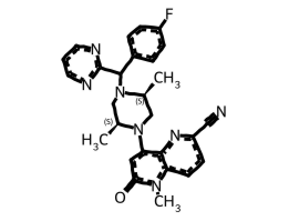 C[C@H]1CN(C(c2ccc(F)cc2)c2ncccn2)[C@@H](C)CN1c1cc(=O)n(C)c2ccc(C#N)nc12